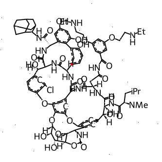 CCNCCOc1cc(OCCNCC)cc(C(=O)NC(=O)C[C@@H]2NC(=O)[C@H](NC(=O)[C@@H](CC(C)C)NC)[C@H](O)c3ccc4c(c3)C3NC(=O)O[C@H]5[C@H](O)[C@@H](O)[C@H](Oc6c7cc(cc6O4)[C@@H](NC2=O)C(=O)N[C@H]2C(=O)N[C@H](C(=O)N[C@H](C(=O)NC4C6CC8CC(C6)CC4C8)c4cc(O)cc(O)c4-c4cc2ccc4O)[C@H](O)c2ccc(c(Cl)c2)O7)O[C@H]35)c1